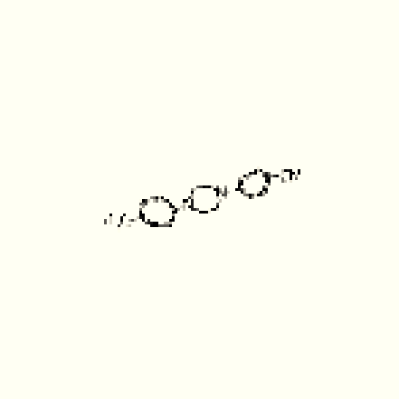 Cc1ccc(N2CCN(c3ccc(C#N)cc3)CC2)cc1